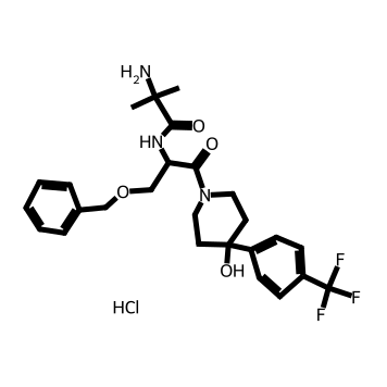 CC(C)(N)C(=O)NC(COCc1ccccc1)C(=O)N1CCC(O)(c2ccc(C(F)(F)F)cc2)CC1.Cl